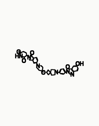 O=C1CCC(N2Cc3cc(N4CCC(OC5CC6(CCN(c7ccc(-n8cnc9ccc(O)cc9c8=O)cc7)CC6)C5)CC4)ccc3C2=O)C(=O)N1